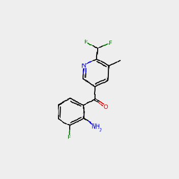 Cc1cc(C(=O)c2cccc(F)c2N)cnc1C(F)F